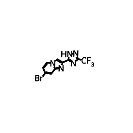 FC(F)(F)c1n[nH]c(-c2cn3ccc(Br)cc3n2)n1